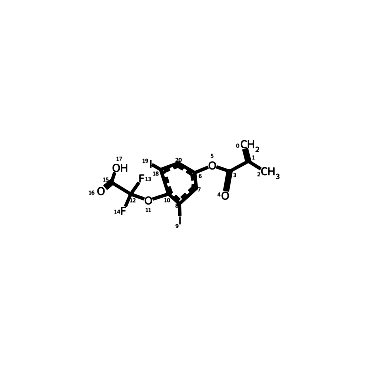 C=C(C)C(=O)Oc1cc(I)c(OC(F)(F)C(=O)O)c(I)c1